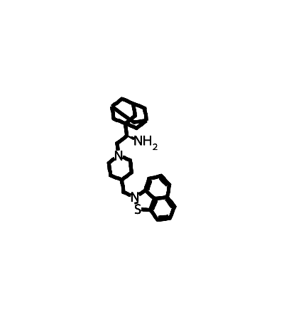 N[C@@H](CN1CCC(CN2Sc3cccc4cccc2c34)CC1)C12CC3CC(CC(C3)C1)C2